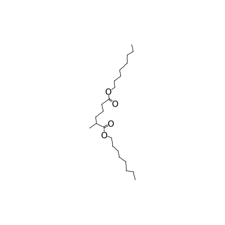 CCCCCCCCOC(=O)CCCC(C)C(=O)OCCCCCCCC